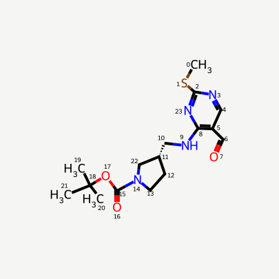 CSc1ncc(C=O)c(NC[C@@H]2CCN(C(=O)OC(C)(C)C)C2)n1